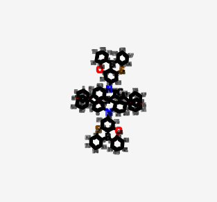 c1ccc(-c2ccc3c(c2)[Si]2(c4cc(-c5ccccc5)ccc4N3c3cc4c5c(c3)Sc3ccccc3B5c3ccccc3O4)c3cc(-c4ccccc4)ccc3N(c3cc4c5c(c3)Sc3ccccc3B5c3ccccc3O4)c3ccc(-c4ccccc4)cc32)cc1